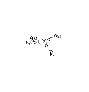 CCOCCOCC1(COCCOCC)CC=C(OS(=O)(=O)C(F)(F)F)CC1